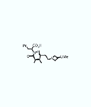 COC1CN(CCc2nn(C(CC(C)C)C(=O)O)c(=O)c(C)c2C)C1